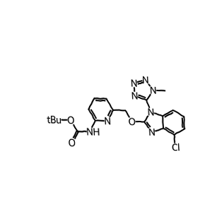 Cn1nnnc1-n1c(OCc2cccc(NC(=O)OC(C)(C)C)n2)nc2c(Cl)cccc21